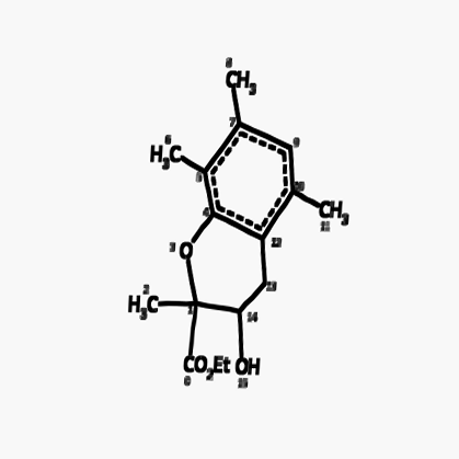 CCOC(=O)C1(C)Oc2c(C)c(C)cc(C)c2CC1O